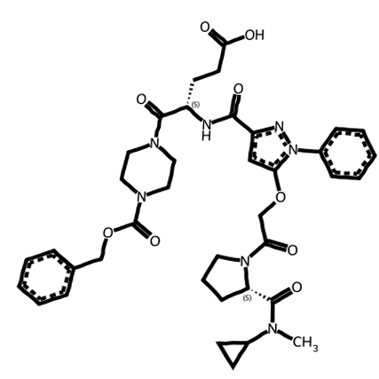 CN(C(=O)[C@@H]1CCCN1C(=O)COc1cc(C(=O)N[C@@H](CCC(=O)O)C(=O)N2CCN(C(=O)OCc3ccccc3)CC2)nn1-c1ccccc1)C1CC1